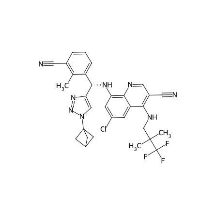 Cc1c(C#N)cccc1[C@H](Nc1cc(Cl)cc2c(NCC(C)(C)C(F)(F)F)c(C#N)cnc12)c1cn(C23CC(C2)C3)nn1